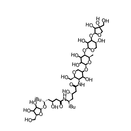 CC[C@H](C)[C@H](C[C@H](O)CC(=O)N[C@@H]1C(O)C(O[C@@H]2O[C@H](C)[C@H](O[C@@H]3OC[C@@H](O)C(O[C@@H]4OC[C@@](O)(CO)C4O)C3O)C(O)C2O)CO[C@@H]1CO)NC(=O)C[C@@H](O)C[C@H](O[C@@H]1O[C@@H](CO)C(O)C1O)[C@@H](C)CC